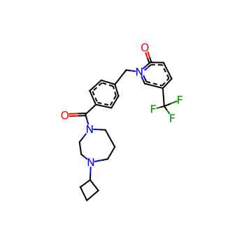 O=C(c1ccc(Cn2cc(C(F)(F)F)ccc2=O)cc1)N1CCCN(C2CCC2)CC1